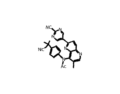 CC(=O)N(c1ccc(C(C)(C)C#N)cc1)c1c(C)cnc2ccc(-c3cnc(C#N)nc3)nc12